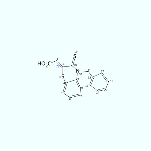 O=C(O)/C=C1\Sc2ccccc2N(Cc2ccccc2)C1=S